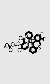 COC(=O)OCOc1c2n(ccc1=O)N([C@@H]1c3ccccc3SCc3c1ccc(F)c3F)[C@@H]1CC=CCN1C2=O